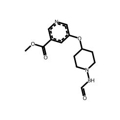 COC(=O)c1cncc(OC2CCN(BC=O)CC2)c1